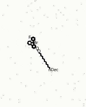 CCCCCCCCCCCCCCCCCCCCCCOCOc1ccc2c(c1)C(Br)(c1cccc(F)c1)C1CCC=CC21